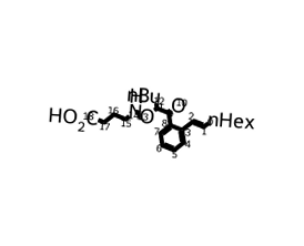 CCCCCCC=Cc1ccccc1C(=O)C(CCCC)ONCCCC(=O)O